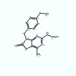 CCCCCNc1nc(N)c2c(n1)N(Cc1ccc(CO)cc1)C(=O)C2